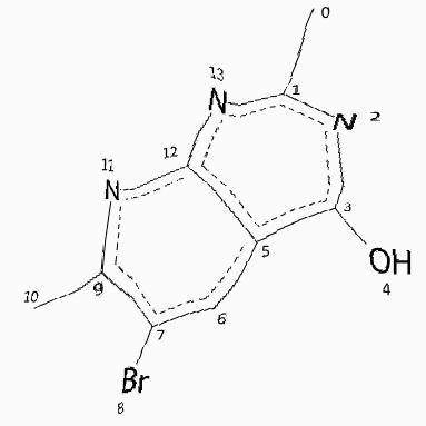 Cc1nc(O)c2cc(Br)c(C)nc2n1